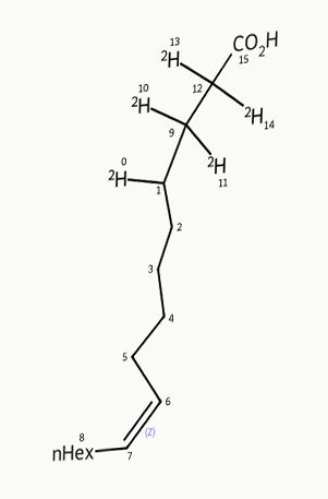 [2H]C(CCCC/C=C\CCCCCC)C([2H])([2H])C([2H])([2H])C(=O)O